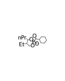 CCCC1OP(=O)(C(=O)C2CCCCC2)OCC1CC